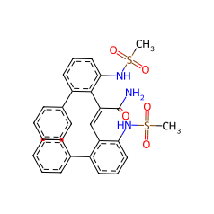 CS(=O)(=O)Nc1cccc(-c2ccccc2)c1C=C(C(N)=O)c1c(NS(C)(=O)=O)cccc1-c1ccccc1